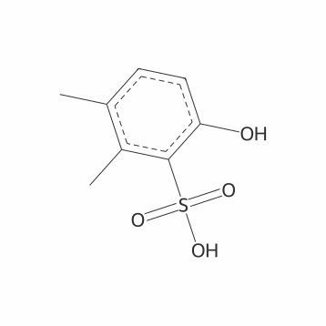 Cc1ccc(O)c(S(=O)(=O)O)c1C